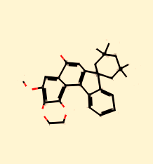 COc1cc2c(O)cc3c(c2c2c1OCCO2)-c1ccccc1C31CC(C)(C)CC(C)(C)C1